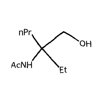 CCCC(CC)(CO)NC(C)=O